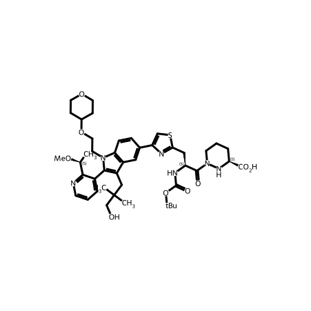 CO[C@@H](C)c1ncccc1-c1c(CC(C)(C)CO)c2cc(-c3csc(C[C@H](NC(=O)OC(C)(C)C)C(=O)N4CCC[C@@H](C(=O)O)N4)n3)ccc2n1CCOC1CCOCC1